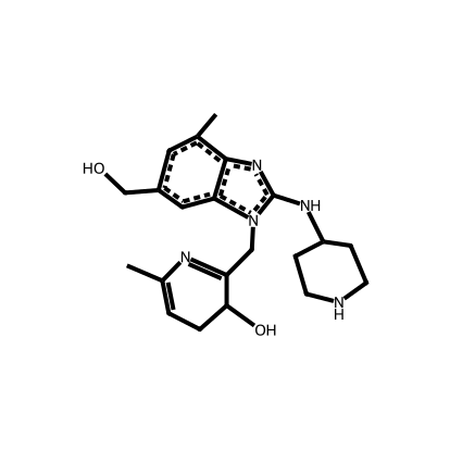 CC1=CCC(O)C(Cn2c(NC3CCNCC3)nc3c(C)cc(CO)cc32)=N1